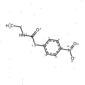 CCNC(=O)Sc1ccc([N+](=O)[O-])cc1